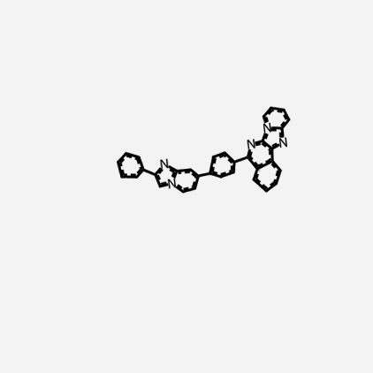 c1ccc(-c2cn3ccc(-c4ccc(-c5nc6c(nc7ccccn76)c6ccccc56)cc4)cc3n2)cc1